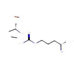 CC(=O)O.C[C@H](N)C(=O)O.N=C(N)NCCC[C@H](N)C(=O)O.O=CO